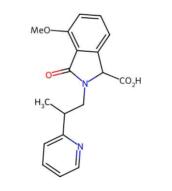 COc1cccc2c1C(=O)N(CC(C)c1ccccn1)C2C(=O)O